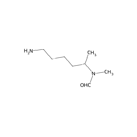 CC(CCCCN)N(C)C=O